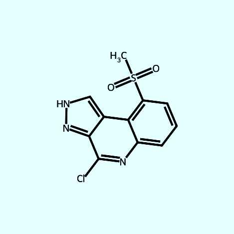 CS(=O)(=O)c1cccc2nc(Cl)c3n[nH]cc3c12